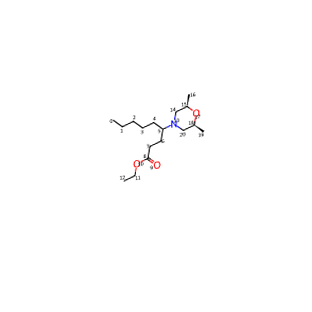 CCCCCC(CCC(=O)OCC)N1C[C@@H](C)O[C@@H](C)C1